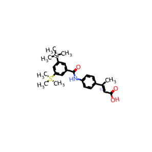 C/C(=C\C(=O)O)c1ccc(NC(=O)c2cc([Si](C)(C)C)cc(S(C)(C)C)c2)cc1